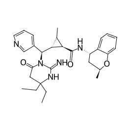 CCC1(CC)CC(=O)N([C@@H](c2cccnc2)[C@@H]2C(C)[C@H]2C(=O)N[C@H]2C[C@H](C)Oc3ccccc32)C(=N)N1